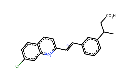 CC(CC(=O)O)c1cccc(/C=C/c2ccc3ccc(Cl)cc3n2)c1